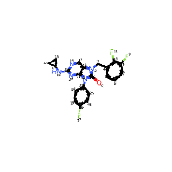 O=c1n(Cc2cccc(F)c2F)c2cnc(NC3CC3)nc2n1-c1ccc(F)cc1